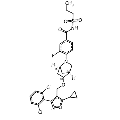 CCCS(=O)(=O)NC(=O)c1ccc(N2C[C@@H]3C[C@H]2C[C@H]3OCc2c(-c3c(Cl)cccc3Cl)noc2C2CC2)c(F)c1